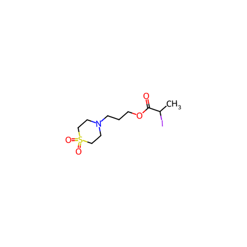 CC(I)C(=O)OCCCN1CCS(=O)(=O)CC1